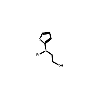 CC(C)N(CCO)c1cccs1